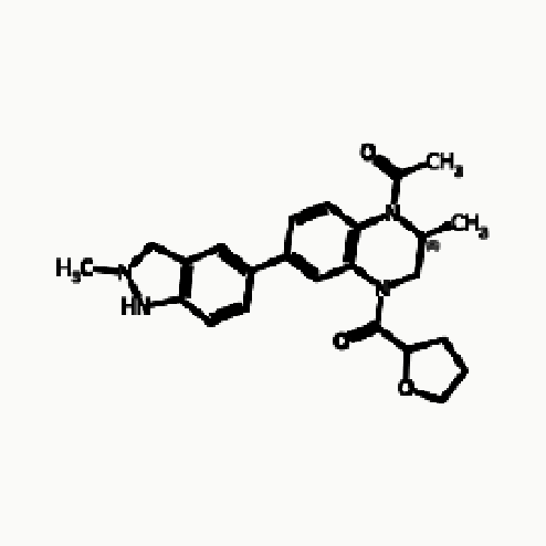 CC(=O)N1c2ccc(-c3ccc4c(c3)CN(C)N4)cc2N(C(=O)C2CCCO2)C[C@@H]1C